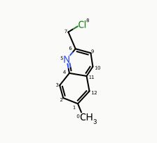 Cc1ccc2nc(CCl)ccc2c1